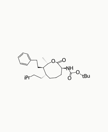 CC(C)CC[C@H]1CCC[C@H](NC(=O)OC(C)(C)C)C(=O)O[C@@H](C)[C@@H]1CCc1ccccc1